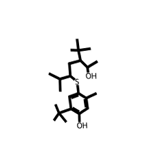 Cc1cc(O)c(C(C)(C)C)cc1SC(CC(C(C)O)C(C)(C)C)C(C)C